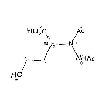 CC(=O)NN(C(C)=O)[C@H](CCO)C(=O)O